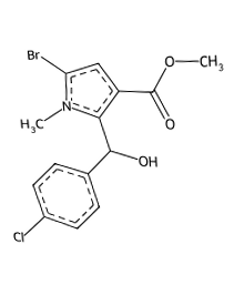 COC(=O)c1cc(Br)n(C)c1C(O)c1ccc(Cl)cc1